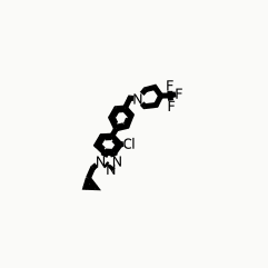 FC(F)(F)C1CCN(Cc2ccc(-c3ccc4c(nnn4CC4CC4)c3Cl)cc2)CC1